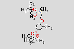 Cc1cc(B2OC(C)(C)C(C)(C)O2)ccc1OCCN(C)C(=O)OC(C)(C)C